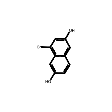 Oc1cc(Br)c2cc(O)ccc2c1